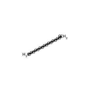 C=CC(=O)OCCOCCOCCOCCOCCOCCOCCOCCOCCOCCOCCOCCOCCOCCOC